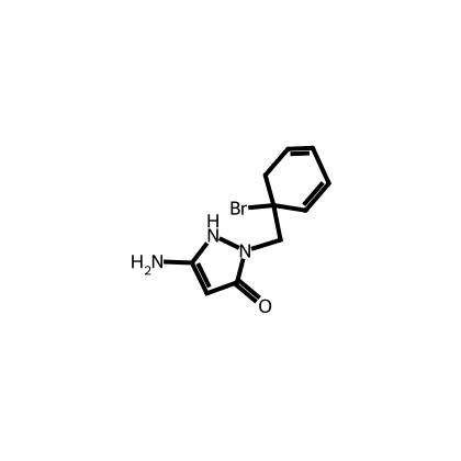 Nc1cc(=O)n(CC2(Br)C=CC=CC2)[nH]1